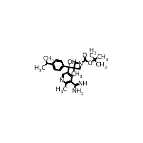 Cc1ncc([C@@](O)(c2ccc(C(C)C)cc2)C2(C)CN(C(=O)OC(C)(C)C)C2)cc1C(=N)N